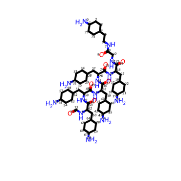 NC1CCC(CCNC(=O)CNC(=O)C(CC2CCC(N)CC2)NC(=O)C(CC2CCC(N)CC2)NC(=O)C(CC2CCC(N)CC2)NC(=O)C(CC2CCC(N)CC2)NC(=O)C(CC2CCC(N)CC2)NC=O)CC1